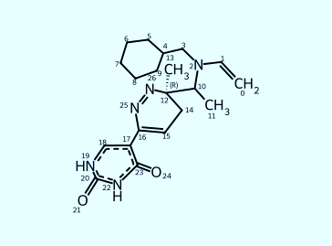 C=CN(CC1CCCCC1)C(C)[C@@]1(C)CC=C(c2c[nH]c(=O)[nH]c2=O)N=N1